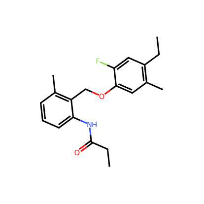 CCC(=O)Nc1cccc(C)c1COc1cc(C)c(CC)cc1F